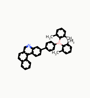 Cc1cccc(C)c1B(c1ccc(-c2ccc3c(c2)ncc2ccc4ccccc4c23)cc1)c1c(C)cccc1C